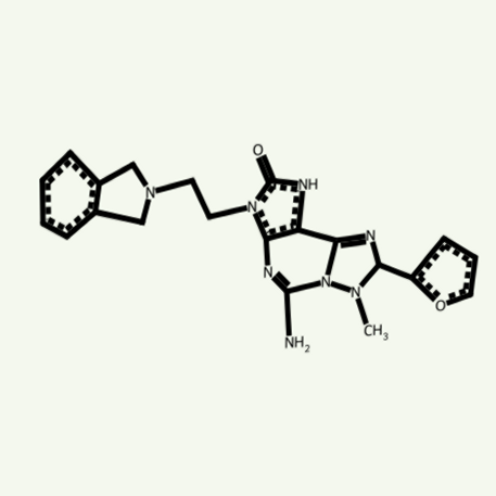 CN1C(c2ccco2)N=C2c3[nH]c(=O)n(CCN4Cc5ccccc5C4)c3N=C(N)N21